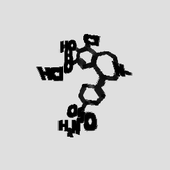 CN1CCc2c(cc(O)c(O)c2Cl)C(c2ccc(S(N)(=O)=O)cc2)C1.Cl